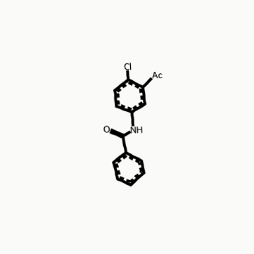 CC(=O)c1cc(NC(=O)c2ccccc2)ccc1Cl